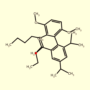 CCCCP(CCCC)c1c(OC)ccc(OC)c1-c1c(C(C)C)cc(C(C)C)cc1C(C)C